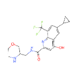 O=C(NCC1COCCN1)c1cc(O)c2cc(C3CC3)cc(C(F)(F)F)c2n1